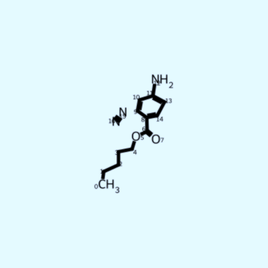 CCCCCOC(=O)c1ccc(N)cc1.N#N